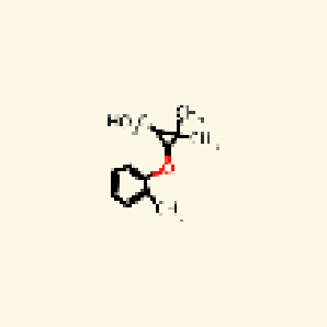 Cc1ccccc1OC1C(C(=O)O)C1(C)C